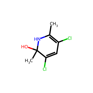 CC1=C(Cl)C=C(Cl)C(C)(O)N1